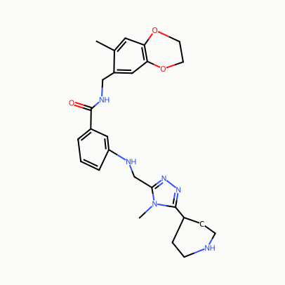 Cc1cc2c(cc1CNC(=O)c1cccc(NCc3nnc(C4CCNCC4)n3C)c1)OCCO2